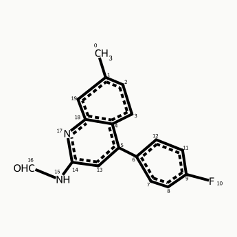 Cc1ccc2c(-c3ccc(F)cc3)cc(NC=O)nc2c1